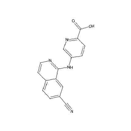 N#Cc1ccc2ccnc(Nc3ccc(C(=O)O)nc3)c2c1